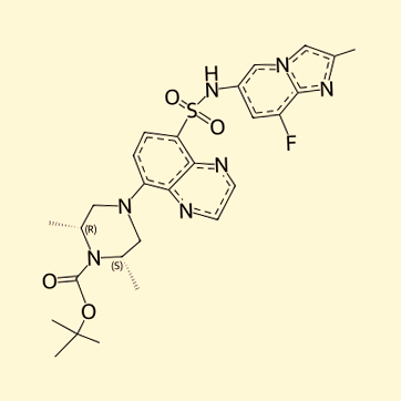 Cc1cn2cc(NS(=O)(=O)c3ccc(N4C[C@@H](C)N(C(=O)OC(C)(C)C)[C@@H](C)C4)c4nccnc34)cc(F)c2n1